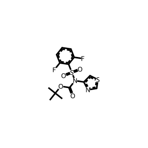 CC(C)(C)OC(=O)N(c1cscn1)S(=O)(=O)c1c(F)cccc1F